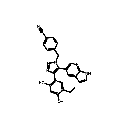 CCc1cc(-c2nnn(Cc3ccc(C#N)cc3)c2-c2cnc3[nH]ccc3c2)c(O)cc1O